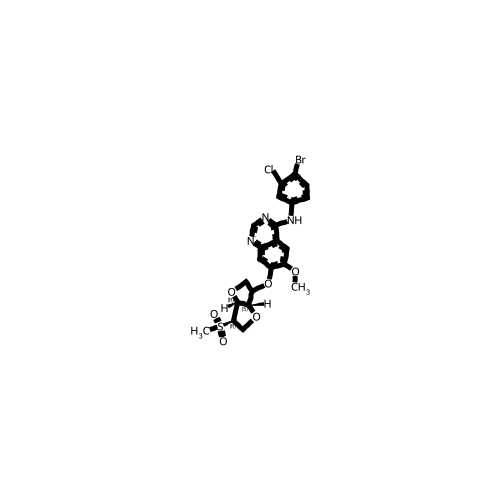 COc1cc2c(Nc3ccc(Br)c(Cl)c3)ncnc2cc1OC1CO[C@H]2[C@H](S(C)(=O)=O)CO[C@@H]12